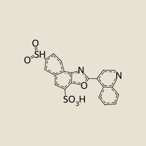 O=[SH](=O)c1ccc2c(c1)cc(S(=O)(=O)O)c1oc(-c3ccnc4ccccc34)nc12